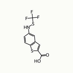 O=C(O)c1cc2cc(NSC(F)(F)F)ccc2s1